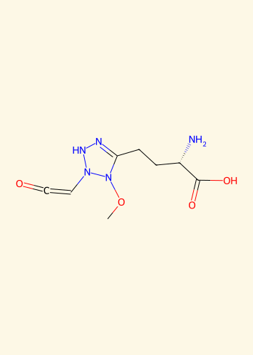 CON1C(CC[C@H](N)C(=O)O)=NNN1C=C=O